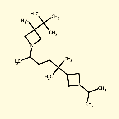 CC(C)N1CC(C(C)(C)CCC(C)N2CC(C)(C(C)(C)C)C2)C1